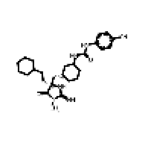 CN1C(=N)N[C@](CCC2CCCCC2)(C[C@H]2CCCC(NC(=O)Nc3ccc(C#N)cc3)C2)C1=O